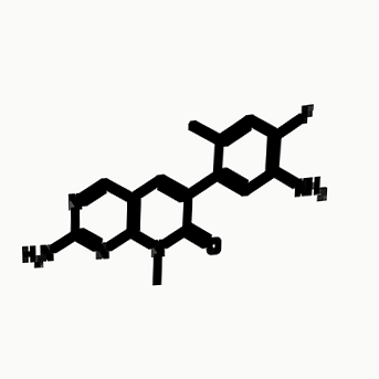 Cc1cc(F)c(N)cc1-c1cc2cnc(N)nc2n(C)c1=O